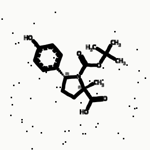 CC(C)(C)OC(=O)N1[C@@H](c2ccc(O)cc2)CC[C@@]1(C)C(=O)O